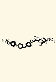 O=[N+]([O-])c1cn(CCC(O)COc2ccc(CC3CCN(c4ccc(OC(F)(F)F)cc4)CC3)cc2)c(Cl)n1